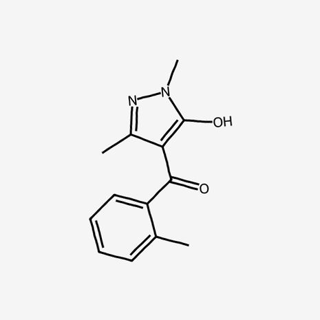 Cc1ccccc1C(=O)c1c(C)nn(C)c1O